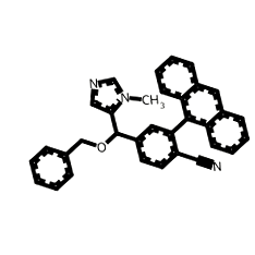 Cn1cncc1C(OCc1ccccc1)c1ccc(C#N)c(-c2c3ccccc3cc3ccccc23)c1